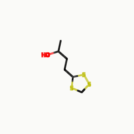 CC(O)CCC1SCSS1